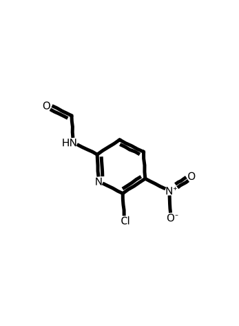 O=CNc1ccc([N+](=O)[O-])c(Cl)n1